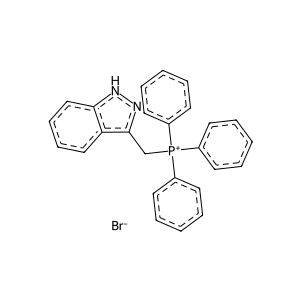 [Br-].c1ccc([P+](Cc2n[nH]c3ccccc23)(c2ccccc2)c2ccccc2)cc1